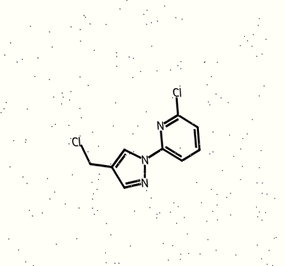 ClCc1cnn(-c2cccc(Cl)n2)c1